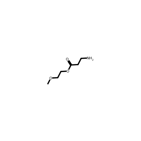 COCCOC(=O)CCN